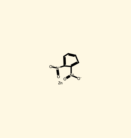 O=[N+]([O-])c1ccccc1[N+](=O)[O-].[Zn]